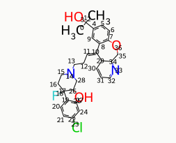 CC(C)(O)c1ccc2c(c1)/C(=C/CCN1CCC(F)(c3ccc(Cl)cc3)C(O)C1)C1C=CC=NC1CO2